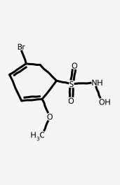 COC1=CC=C(Br)CC1S(=O)(=O)NO